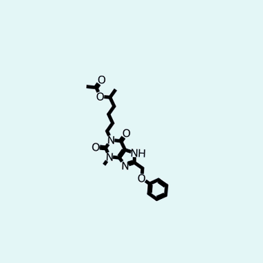 CC(=O)OC(C)CCCCn1c(=O)c2[nH]c(COc3ccccc3)nc2n(C)c1=O